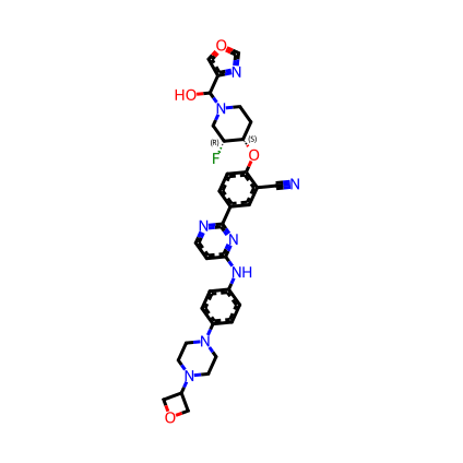 N#Cc1cc(-c2nccc(Nc3ccc(N4CCN(C5COC5)CC4)cc3)n2)ccc1O[C@H]1CCN(C(O)c2cocn2)C[C@H]1F